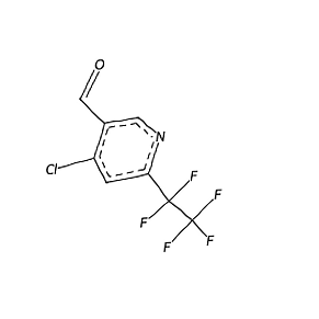 O=Cc1cnc(C(F)(F)C(F)(F)F)cc1Cl